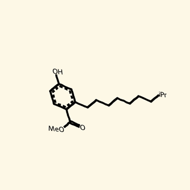 COC(=O)c1ccc(O)cc1CCCCCCCC(C)C